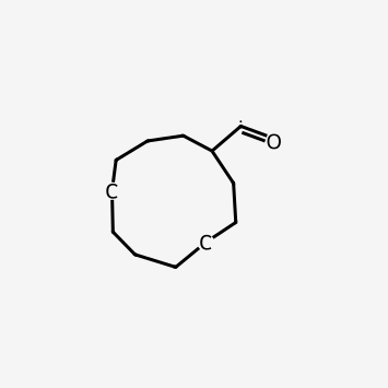 O=[C]C1CCCCCCCCCC1